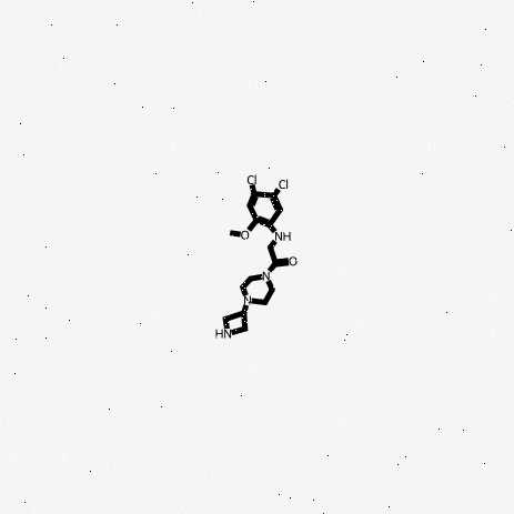 COc1cc(Cl)c(Cl)cc1NCC(=O)N1CCN(C2CNC2)CC1